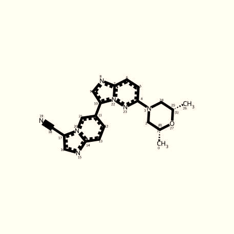 C[C@@H]1CN(c2ccc3ncc(-c4ccc5ncc(C#N)n5c4)n3n2)C[C@H](C)O1